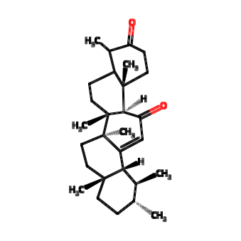 CC1C(=O)CC[C@@]2(C)C1CC[C@]1(C)[C@@H]2C(=O)C=C2[C@@H]3[C@@H](C)[C@H](C)CC[C@]3(C)CC[C@]21C